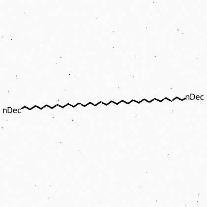 [CH2]CCCCCCCCCCCCCCCCCCCCCCCCCCCCCCCCCCCCCCCCCCCCCCCC[CH2]